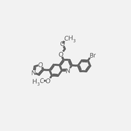 COCOc1cc(-c2cccc(Br)c2)nc2cc(OC)c(-c3cnco3)cc12